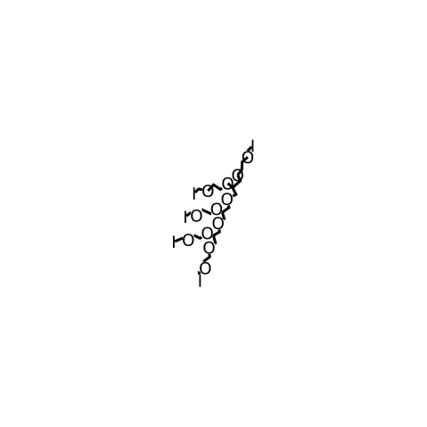 ICOCCOCC(COCC(COCC(COCCOCI)OCCOCI)OCCOCI)OCCOCI